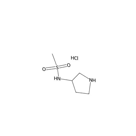 CS(=O)(=O)NC1CCNC1.Cl